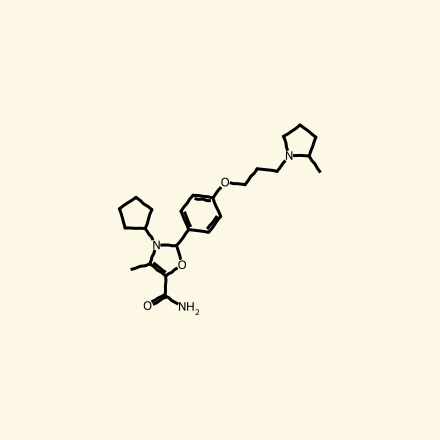 CC1=C(C(N)=O)OC(c2ccc(OCCCN3CCCC3C)cc2)N1C1CCCC1